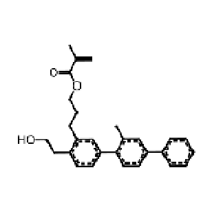 C=C(C)C(=O)OCCCc1cc(-c2ccc(-c3ccccc3)cc2C)ccc1CCO